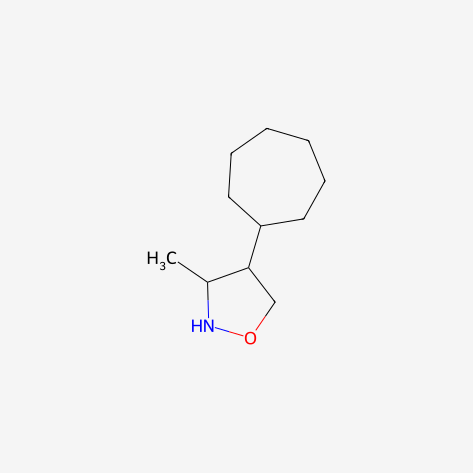 CC1NOCC1C1CCCCCC1